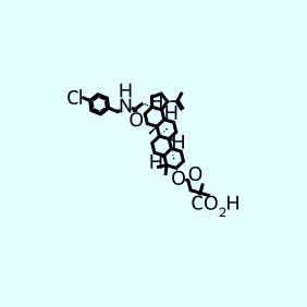 C=C(C)[C@@H]1CC[C@]2(CC(=O)NCc3ccc(Cl)cc3)CC[C@]3(C)[C@H](CC[C@@H]4[C@@]5(C)CC[C@H](OC(=O)CC(C)(C)C(=O)O)C(C)(C)[C@@H]5CC[C@]43C)[C@@H]12